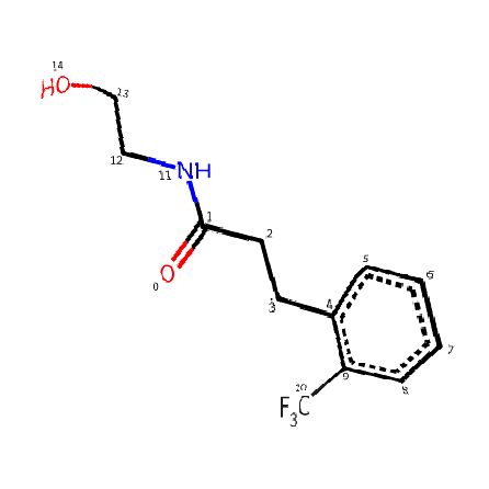 O=C(C[CH]c1ccccc1C(F)(F)F)NCCO